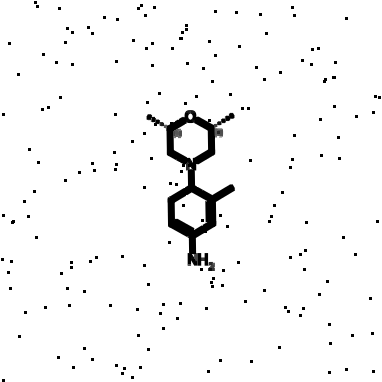 CC1=CC(N)=CCC1N1C[C@@H](C)O[C@@H](C)C1